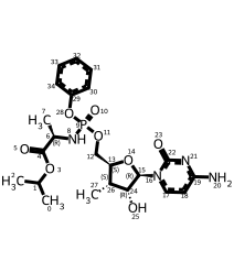 CC(C)OC(=O)[C@@H](C)NP(=O)(OC[C@H]1O[C@@H](n2ccc(N)nc2=O)[C@H](O)[C@@H]1C)Oc1ccccc1